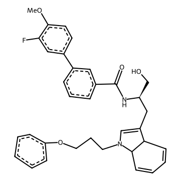 COc1ccc(-c2cccc(C(=O)N[C@@H](CO)CC3=CN(CCCOc4ccccc4)C4C=CC=CC34)c2)cc1F